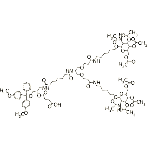 COc1ccc(C(OCC(CNC(=O)CCCCCCC(=O)NC(COCCC(=O)NCCCCCCOC2OC(COC(C)=O)C(OC(C)=O)C(OC(C)=O)C2NC(C)=O)COCCC(=O)NCCCCCCOC2OC(COC(C)=O)C(OC(C)=O)C(OC(C)=O)C2NC(C)=O)OC(=O)CCC(=O)O)(c2ccccc2)c2ccc(OC)cc2)cc1